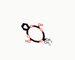 CC1(C)CCOC(O)COc2ccccc2COC(O)CCO1